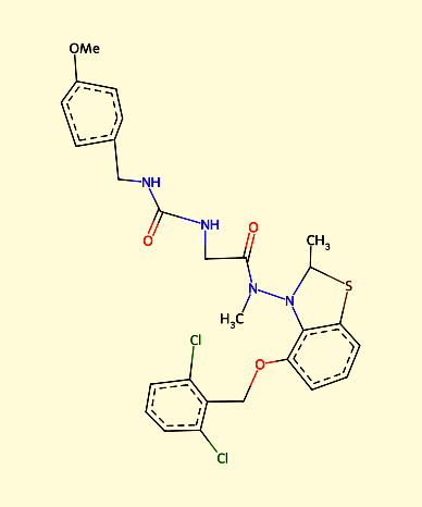 COc1ccc(CNC(=O)NCC(=O)N(C)N2c3c(OCc4c(Cl)cccc4Cl)cccc3SC2C)cc1